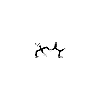 CCCCC(CC)C(=O)OCC(C)(C)CC(C)C